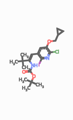 CC(C)(C)OC(=O)N/C(=C\c1cc(OCC2CC2)c(Cl)nc1I)C(C)(C)C